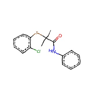 CC(C)(Sc1ccccc1Cl)C(=O)Nc1ccccc1